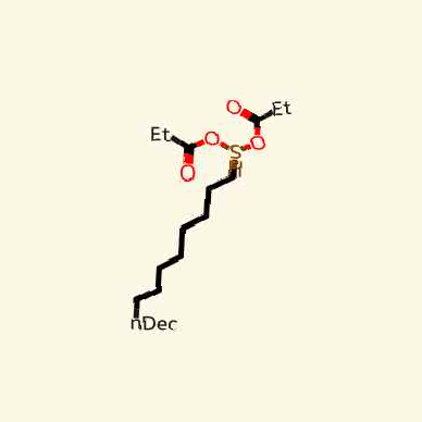 CCCCCCCCCCCCCCCCCC[SH](OC(=O)CC)OC(=O)CC